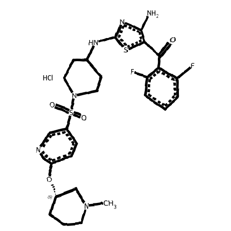 CN1CCC[C@H](Oc2ccc(S(=O)(=O)N3CCC(Nc4nc(N)c(C(=O)c5c(F)cccc5F)s4)CC3)cn2)C1.Cl